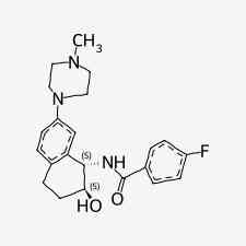 CN1CCN(c2ccc3c(c2)[C@H](NC(=O)c2ccc(F)cc2)[C@@H](O)CC3)CC1